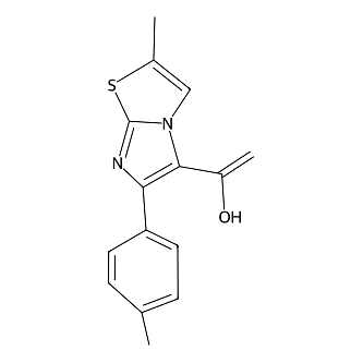 C=C(O)c1c(-c2ccc(C)cc2)nc2sc(C)cn12